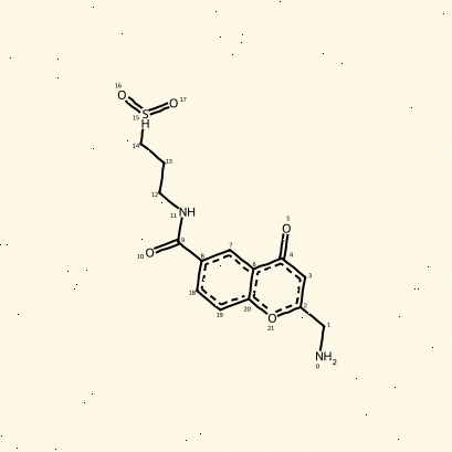 NCc1cc(=O)c2cc(C(=O)NCCC[SH](=O)=O)ccc2o1